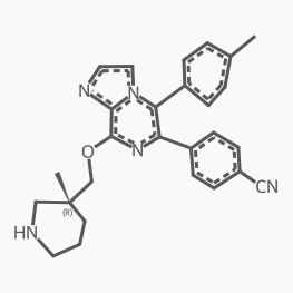 Cc1ccc(-c2c(-c3ccc(C#N)cc3)nc(OC[C@]3(C)CCCNC3)c3nccn23)cc1